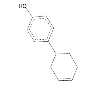 Oc1ccc(C2CC=CCC2)cc1